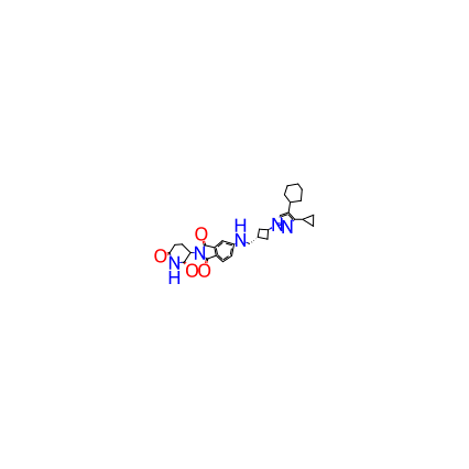 O=C1CCC(N2C(=O)c3ccc(NC[C@H]4C[C@H](n5cc(C6CCCCC6)c(C6CC6)n5)C4)cc3C2=O)C(=O)N1